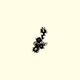 O=C(OC1C[N+]2(CCCc3ccncc3)CCC1CC2)C1(c2ccccc2)CCCCCC1.[Br-]